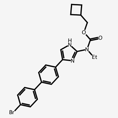 CCN(C(=O)OCC1CCC1)c1nc(-c2ccc(-c3ccc(Br)cc3)cc2)c[nH]1